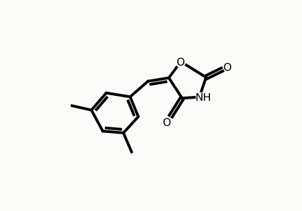 Cc1cc(C)cc(C=C2OC(=O)NC2=O)c1